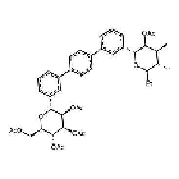 CC[C@H]1O[C@H](c2cccc(-c3ccc(-c4cccc([C@H]5O[C@H](COC(C)=O)[C@@H](OC(C)=O)[C@H](OC(C)=O)[C@@H]5OC(C)=O)c4)cc3)c2)[C@@H](OC(C)=O)[C@@H](C)[C@@H]1C